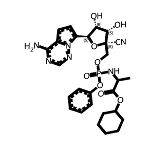 CC(NP(=O)(OC[C@@]1(C#N)O[C@@H](c2ccc3c(N)ncnn23)[C@H](O)[C@@H]1O)Oc1ccccc1)C(=O)OC1CCCCC1